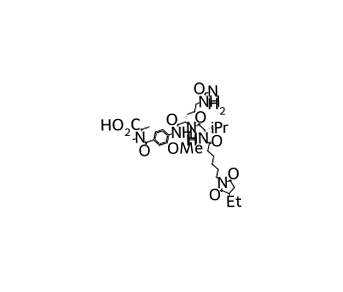 CCC1CC(=O)N(CCCCCC(=O)N[C@H](C(=O)N[C@@H](CCCNC(N)=O)C(=O)Nc2ccc(C(=O)N(C)[C@@H](C)C(=O)O)cc2OC)C(C)C)C1=O